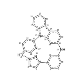 Cn1ccc(-c2cccc(Nc3ccc4c5ccccc5n(-c5ccccn5)c4c3)c2)n1